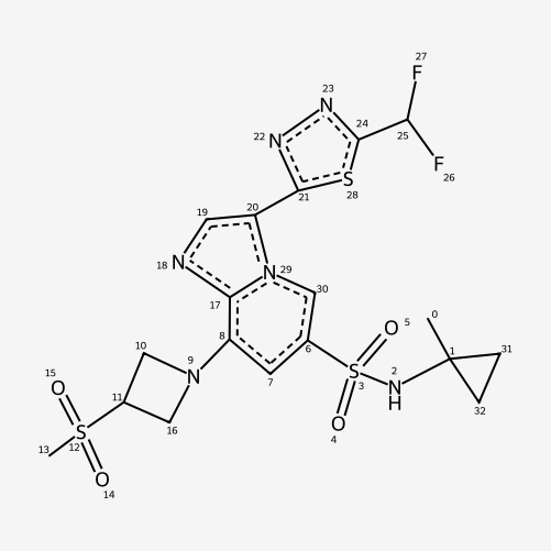 CC1(NS(=O)(=O)c2cc(N3CC(S(C)(=O)=O)C3)c3ncc(-c4nnc(C(F)F)s4)n3c2)CC1